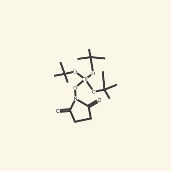 CC(C)(C)[O][Ti]([O]N1C(=O)CCC1=O)([O]C(C)(C)C)[O]C(C)(C)C